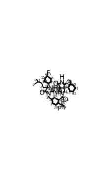 CC(C)CCC1(c2ccc(F)cc2)NC(=N)N(Cc2ccc(C(F)(F)F)c(C(=O)N3C[C@@H]4C(=O)NC(=O)[C@]4(c4ccccc4)C3)c2)C1=O